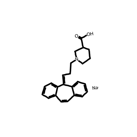 O=C(O)C1CCCN(CCC=C2c3ccccc3C=Cc3ccccc32)C1.[Na]